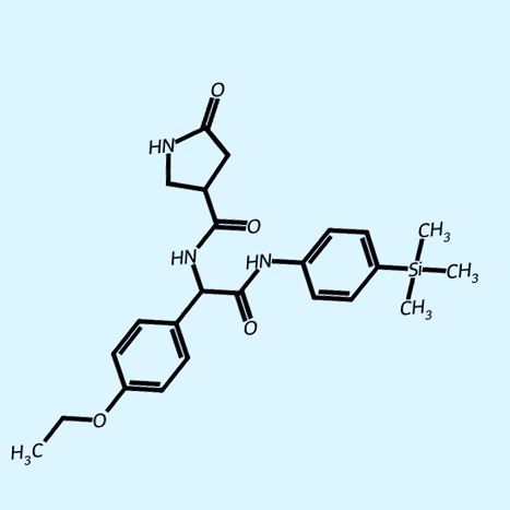 CCOc1ccc(C(NC(=O)C2CNC(=O)C2)C(=O)Nc2ccc([Si](C)(C)C)cc2)cc1